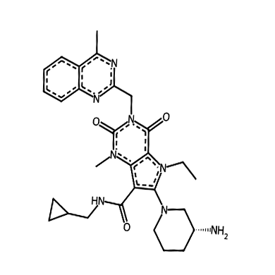 CCn1c(N2CCC[C@@H](N)C2)c(C(=O)NCC2CC2)c2c1c(=O)n(Cc1nc(C)c3ccccc3n1)c(=O)n2C